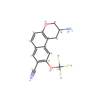 N#Cc1cc2ccc3c(c2cc1OC(F)(F)F)CC(N)CO3